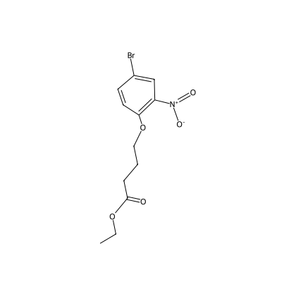 CCOC(=O)CCCOc1ccc(Br)cc1[N+](=O)[O-]